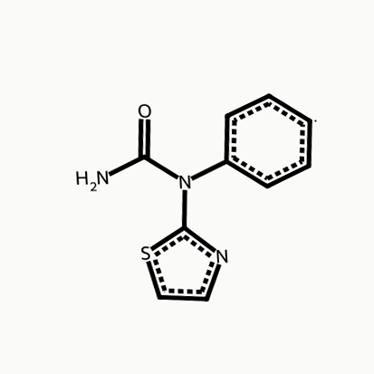 NC(=O)N(c1cc[c]cc1)c1nccs1